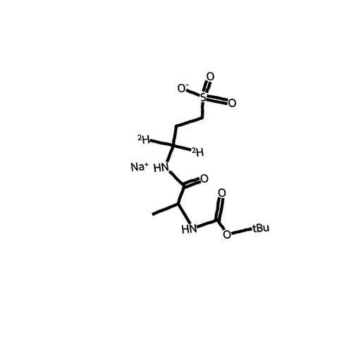 [2H]C([2H])(CCS(=O)(=O)[O-])NC(=O)C(C)NC(=O)OC(C)(C)C.[Na+]